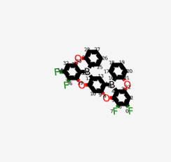 Fc1cc2c3c(c1F)Oc1cc4c(cc1B3c1ccccc1O2)B1c2ccccc2Oc2cc(F)c(F)c(c21)O4